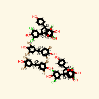 CC(C)(c1cc(Br)c(O)c(Br)c1)c1cc(Br)c(O)c(Br)c1.CC(C)(c1cc(Br)c(O)c(Br)c1)c1cc(Br)c(O)c(Br)c1.CCC(CC(C)(c1cc(Cl)c(O)c(Cl)c1)c1cc(Cl)c(O)c(Cl)c1)(c1ccc(O)cc1)c1ccc(O)cc1.CCC(CC(C)(c1cc(Cl)c(O)c(Cl)c1)c1cc(Cl)c(O)c(Cl)c1)(c1ccc(O)cc1)c1ccc(O)cc1